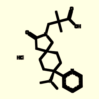 CN(C)[C@]1(c2ccccn2)CC[C@@]2(CC1)CC(=O)N(CC(C)(C)C(=O)O)C2.Cl